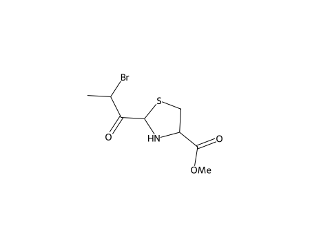 COC(=O)C1CSC(C(=O)C(C)Br)N1